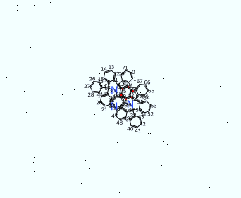 c1ccc(C2(c3ccccc3)c3ccccc3C(c3ccccc3)(c3ccccc3)N2c2cncc(N3C(c4ccccc4)(c4ccccc4)c4ccccc4C3(c3ccccc3)c3ccccc3)c2)cc1